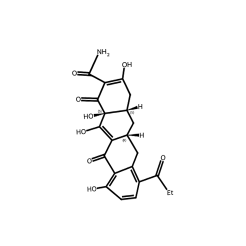 CCC(=O)c1ccc(O)c2c1C[C@H]1C[C@H]3CC(O)=C(C(N)=O)C(=O)[C@@]3(O)C(O)=C1C2=O